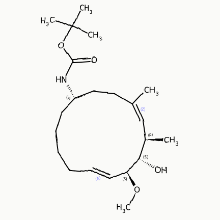 CO[C@H]1/C=C/CCCC[C@H](NC(=O)OC(C)(C)C)CC/C(C)=C\[C@@H](C)[C@@H]1O